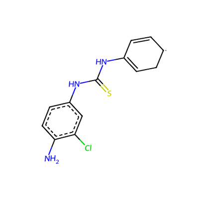 Nc1ccc(NC(=S)NC2=CC[CH]C=C2)cc1Cl